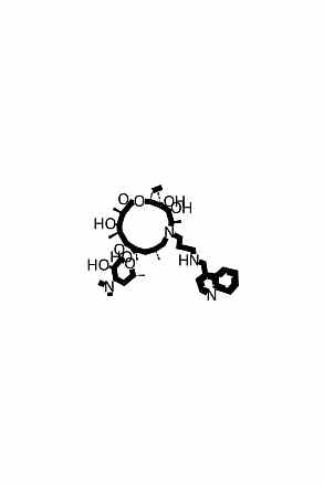 CC[C@H]1OC(=O)[C@H](C)[C@@H](O)[C@H](C)[C@@H](O[C@@H]2O[C@H](C)C[C@H](N(C)C)[C@H]2O)[C@](C)(O)C[C@@H](C)CN(CCCNCc2ccnc3ccccc23)[C@H](C)[C@@H](O)[C@]1(C)O